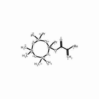 C=C(CCCC)C(=O)O[Si]1(C(C)C)O[Si](C)(C)O[Si](C)(C)O[Si](C(C)C)(C(C)C)O1